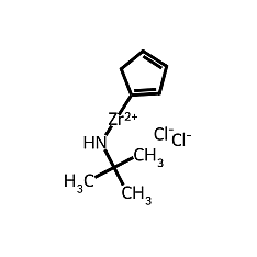 CC(C)(C)[NH][Zr+2][C]1=CC=CC1.[Cl-].[Cl-]